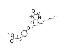 CCCCCCCN(CCCOc1ccc(SC(C)(C)C(=O)OCC)cc1)c1nn(C)c(=O)n(C)c1=O